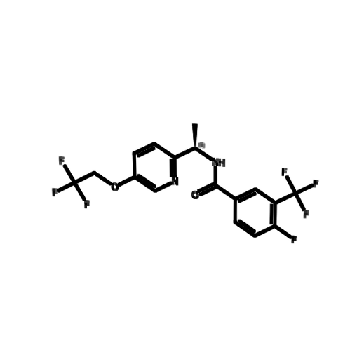 C[C@@H](NC(=O)c1ccc(F)c(C(F)(F)F)c1)c1ccc(OCC(F)(F)F)cn1